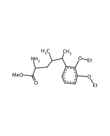 CCOc1cccc(C(C)C(C)CC(N)C(=O)OC)c1OCC